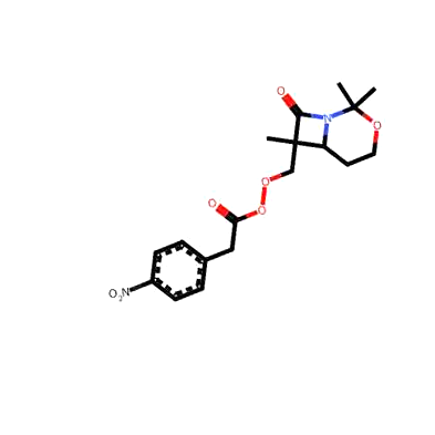 CC1(COOC(=O)Cc2ccc([N+](=O)[O-])cc2)C(=O)N2C1CCOC2(C)C